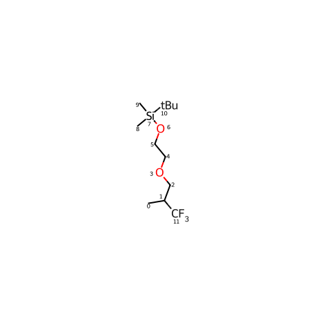 CC(COCCO[Si](C)(C)C(C)(C)C)C(F)(F)F